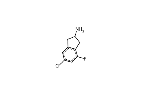 NC1Cc2cc(Cl)cc(F)c2C1